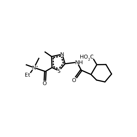 CC[N+](C)(C)C(=O)c1sc(NC(=O)C2CCCCC2C(=O)O)nc1C